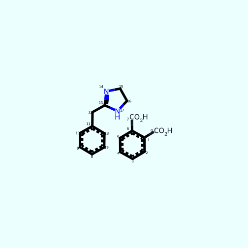 O=C(O)c1ccccc1C(=O)O.c1ccc(CC2=NCCN2)cc1